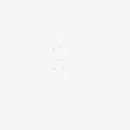 C[C@@H]1CN(Cc2ccc(OCC3CCCCC3)c(F)c2)C(=O)O1